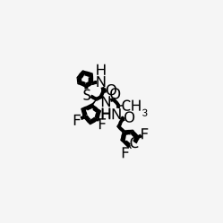 C[C@H](NC(=O)Cc1cc(F)cc(F)c1)C(=O)N[C@@H]1C(=O)Nc2ccccc2S[C@@H]1c1cc(F)cc(F)c1